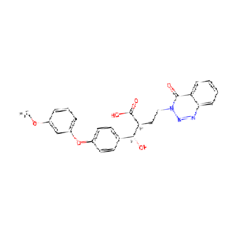 COc1cccc(Oc2ccc([C@@H](O)[C@H](CCn3nnc4ccccc4c3=O)C(=O)O)cc2)c1